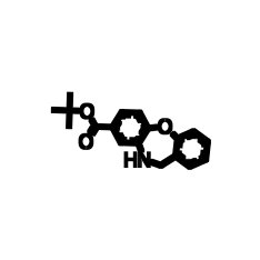 CC(C)(C)OC(=O)c1ccc2c(c1)NCc1ccccc1O2